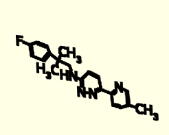 Cc1ccc(-c2ccc(NCC(C)(C)c3ccc(F)cc3)nn2)nc1